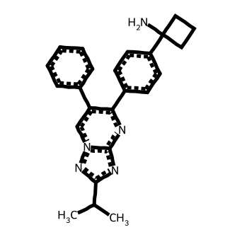 CC(C)c1nc2nc(-c3ccc(C4(N)CCC4)cc3)c(-c3ccccc3)cn2n1